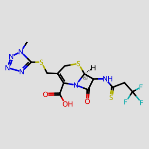 Cn1nnnc1SCC1=C(C(=O)O)N2C(=O)C(NC(=S)CC(F)(F)F)[C@@H]2SC1